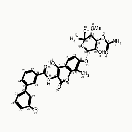 CO[C@@H]1[C@@H](OC(N)=O)[C@@H](O)[C@H](Oc2ccc3c(O)c(NC(=O)c4cccc(-c5cccc(C(C)C)c5)c4)c(=O)oc3c2C)OC1(C)C